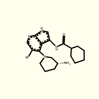 N[C@@H]1CCCN(c2c(Br)cnc3[nH]cc(NC(=O)C4CCCCC4)c23)C1